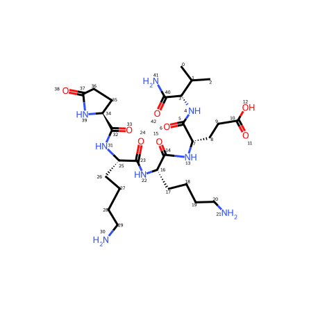 CC(C)[C@H](NC(=O)[C@H](CCC(=O)O)NC(=O)[C@H](CCCCN)NC(=O)[C@H](CCCCN)NC(=O)[C@@H]1CCC(=O)N1)C(N)=O